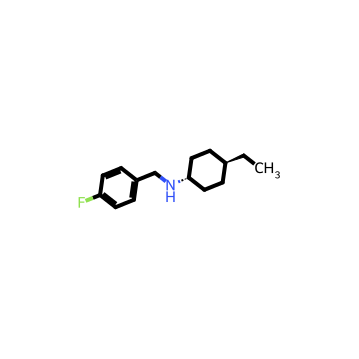 CC[C@H]1CC[C@H](NCc2ccc(F)cc2)CC1